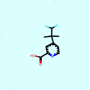 CC(C)(c1ccnc(C(=O)O)c1)C(F)F